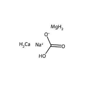 O=C([O-])O.[CaH2].[MgH2].[Na+]